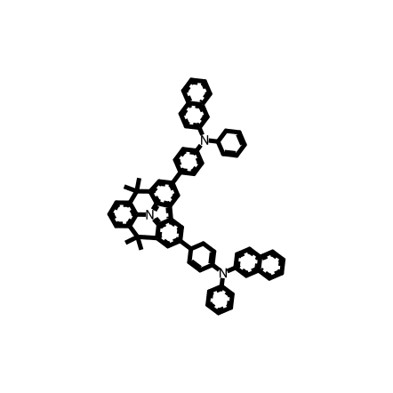 CC1(C)c2cccc3c2-n2c4c1cc(-c1ccc(N(c5ccc6ccccc6c5)C5C=CC=CC5)cc1)cc4c1cc(C4C=CC(N(c5ccccc5)c5ccc6ccccc6c5)=CC4)cc(c12)C3(C)C